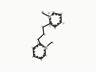 C[n+]1ccccc1CCCc1cccc[n+]1C